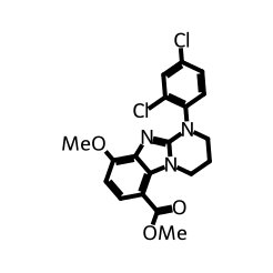 COC(=O)c1ccc(OC)c2nc3n(c12)CCCN3c1ccc(Cl)cc1Cl